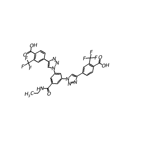 CCNC(=O)c1cc(-n2cc(-c3ccc(C(=O)O)c(C(F)(F)F)c3)nn2)cc(-n2cc(-c3ccc(C(=O)O)c(C(F)(F)F)c3)nn2)c1